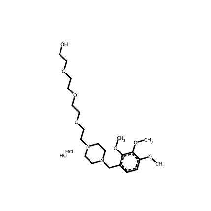 COc1ccc(CN2CCN(CCOCCOCCOCCO)CC2)c(OC)c1OC.Cl.Cl